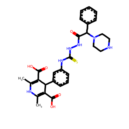 CC1=C(C(=O)O)C(c2cccc(NC(=S)NNC(=O)C(c3ccccc3)N3CCNCC3)c2)C(C(=O)O)=C(C)N1